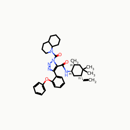 C=C[C@@H]1C[C@@H](NC(=O)c2c(-c3ccccc3Oc3ccccc3)nnn2C(=O)N2CCCC3CCCCC32)[C@H](C)CC1(C)C